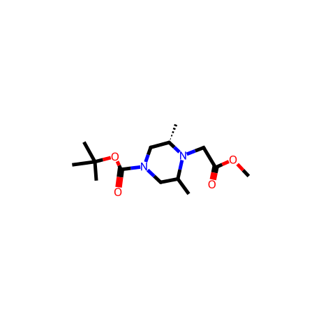 COC(=O)CN1C(C)CN(C(=O)OC(C)(C)C)C[C@@H]1C